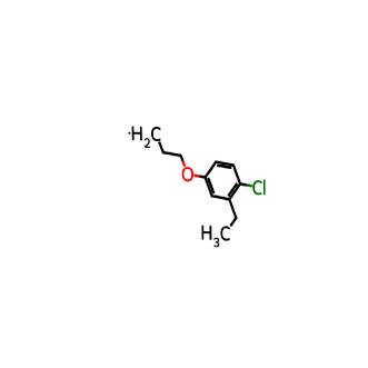 [CH2]CCOc1ccc(Cl)c(CC)c1